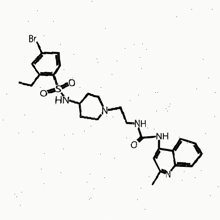 CCc1cc(Br)ccc1S(=O)(=O)NC1CCN(CCNC(=O)Nc2cc(C)nc3ccccc23)CC1